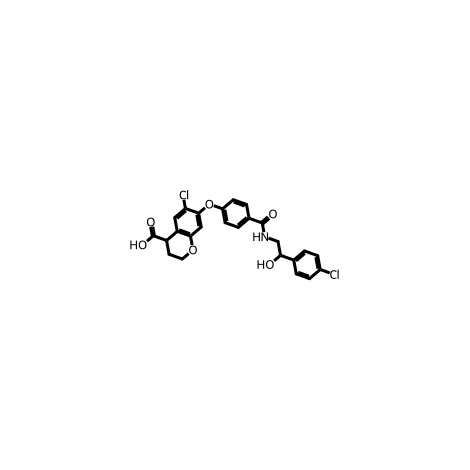 O=C(NCC(O)c1ccc(Cl)cc1)c1ccc(Oc2cc3c(cc2Cl)C(C(=O)O)CCO3)cc1